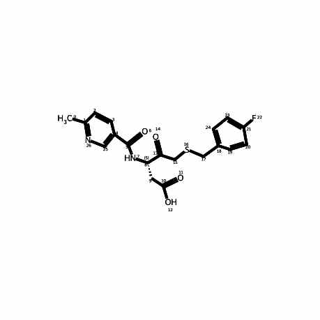 Cc1ccc(C(=O)N[C@@H](CC(=O)O)C(=O)CSCc2ccc(F)cc2)cn1